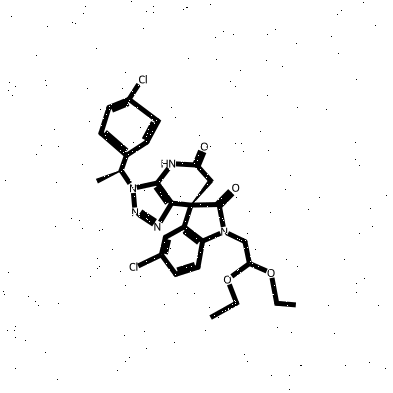 CCOC(CN1C(=O)[C@]2(CC(=O)Nc3c2nnn3[C@@H](C)c2ccc(Cl)cc2)c2cc(Cl)ccc21)OCC